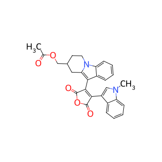 CC(=O)OCC1CCn2c(c(C3=C(c4cn(C)c5ccccc45)C(=O)OC3=O)c3ccccc32)C1